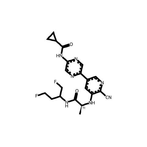 C[C@H](Nc1cc(-c2cnc(NC(=O)C3CC3)cn2)cnc1C#N)C(=O)NC(CF)CCF